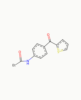 CCC(=O)Nc1ccc(C(=O)c2cccs2)cc1